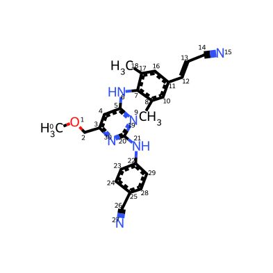 COCc1cc(Nc2c(C)cc(/C=C/C#N)cc2C)nc(Nc2ccc(C#N)cc2)n1